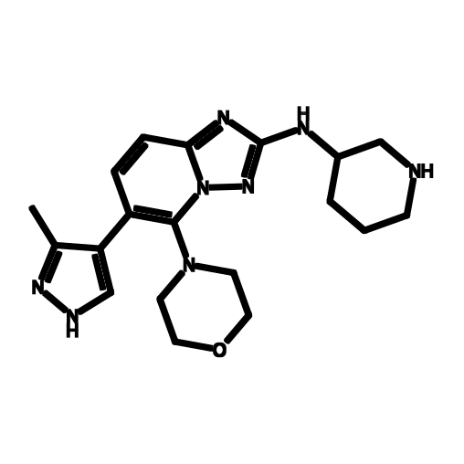 Cc1n[nH]cc1-c1ccc2nc(NC3CCCNC3)nn2c1N1CCOCC1